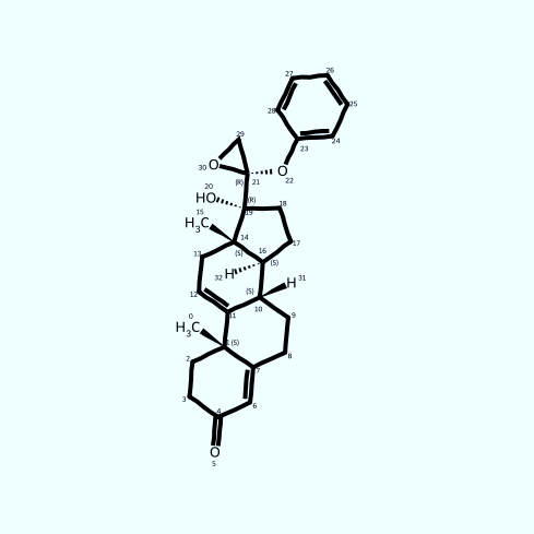 C[C@]12CCC(=O)C=C1CC[C@@H]1C2=CC[C@@]2(C)[C@H]1CC[C@]2(O)[C@]1(Oc2ccccc2)CO1